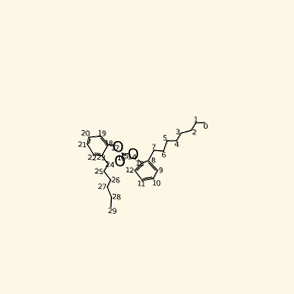 CCCCCCCCc1ccccc1OC(=O)Oc1ccccc1CCCCCC